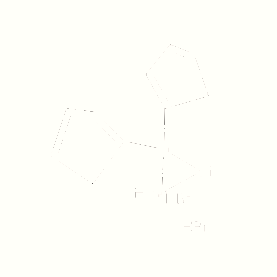 Br.Br.C1=CC[C]([Ti]2([C]3=CC=CC3)[SiH2][SiH2]2)=C1